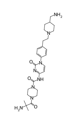 CC(C)(N)C(=O)N1CCN(C(=O)Nc2ccn(-c3ccc(CCN4CCC(CN)CC4)cc3)c(=O)n2)CC1